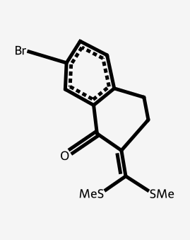 CSC(SC)=C1CCc2ccc(Br)cc2C1=O